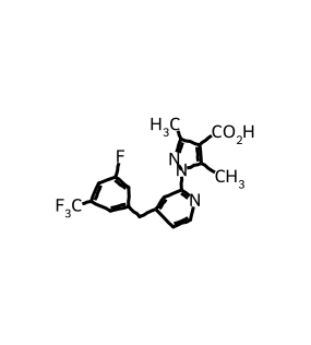 Cc1nn(-c2cc(Cc3cc(F)cc(C(F)(F)F)c3)ccn2)c(C)c1C(=O)O